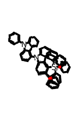 c1ccc(-c2ccc3c(c2[Si](c2ccccc2)(c2ccccc2)c2ccccc2)c2c(-c4ccccc4)cccc2n3-c2cccc3c2c2ccccc2n3-c2ccccc2)cc1